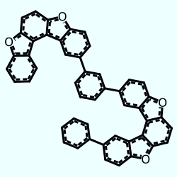 c1ccc(-c2ccc3oc4ccc5oc6ccc(-c7cccc(-c8ccc9oc%10ccc%11oc%12ccccc%12c%11c%10c9c8)c7)cc6c5c4c3c2)cc1